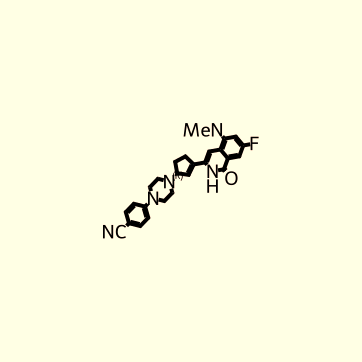 CNc1cc(F)cc2c(=O)[nH]c(C3=C[C@H](N4CCN(c5ccc(C#N)cc5)CC4)CC3)cc12